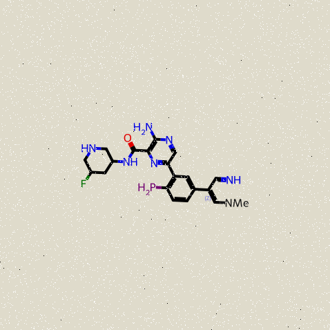 CN/C=C(\C=N)c1ccc(P)c(-c2cnc(N)c(C(=O)NC3CNCC(F)C3)n2)c1